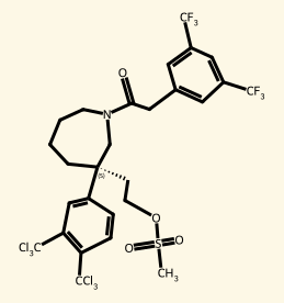 CS(=O)(=O)OCC[C@]1(c2ccc(C(Cl)(Cl)Cl)c(C(Cl)(Cl)Cl)c2)CCCCN(C(=O)Cc2cc(C(F)(F)F)cc(C(F)(F)F)c2)C1